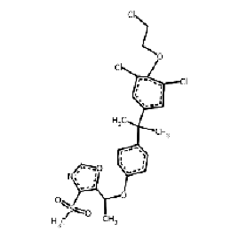 CC(Oc1ccc(C(C)(C)c2cc(Cl)c(OCCCl)c(Cl)c2)cc1)c1ocnc1S(C)(=O)=O